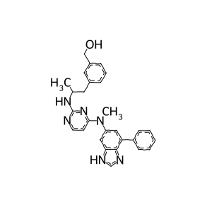 CC(Cc1cccc(CO)c1)Nc1nccc(N(C)c2cc(-c3ccccc3)c3nc[nH]c3c2)n1